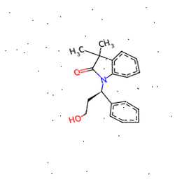 CC1(C)C(=O)N([C@H](CCO)c2ccccc2)c2ccccc21